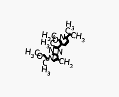 COC[C@@H](C)n1cc(C)c2nc(-c3ccc(C(C)C)nc3OC)c(C)nc21